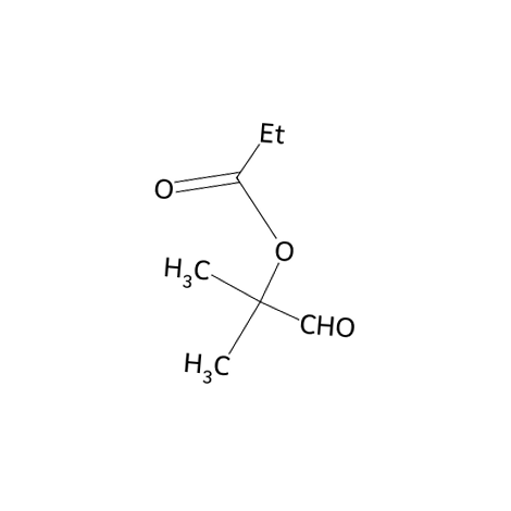 CCC(=O)OC(C)(C)C=O